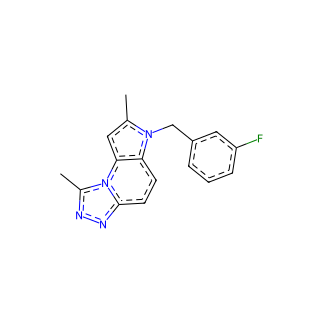 Cc1cc2c(ccc3nnc(C)n32)n1Cc1cccc(F)c1